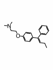 CC/C=C(\c1ccccc1)c1ccc(OCCN(C)C)cc1